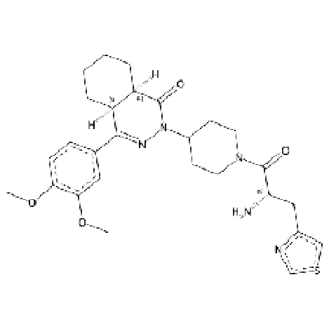 COc1ccc(C2=NN(C3CCN(C(=O)[C@@H](N)Cc4cscn4)CC3)C(=O)[C@@H]3CCCC[C@H]23)cc1OC